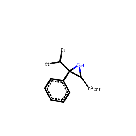 CCCCCC1NC1(c1ccccc1)C(CC)CC